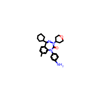 Cc1ccc2c(c1)N(c1ccc(N)cc1)C(=O)N(C1CCOCC1)N=C2C1CCCCC1